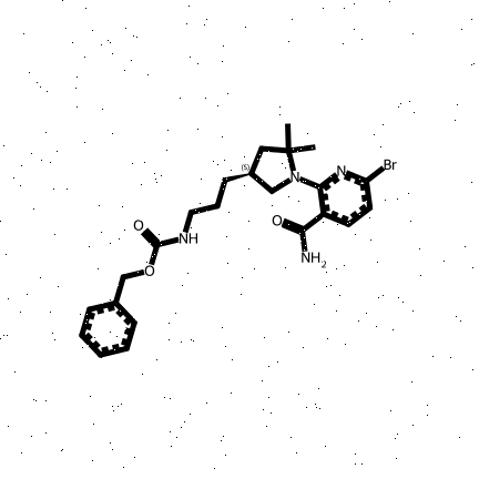 CC1(C)C[C@H](CCCNC(=O)OCc2ccccc2)CN1c1nc(Br)ccc1C(N)=O